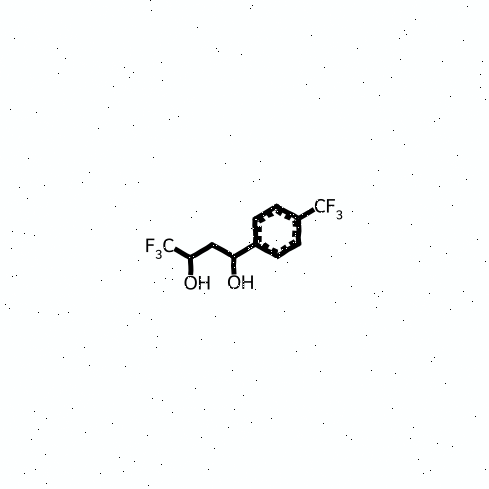 OC(CC(O)C(F)(F)F)c1ccc(C(F)(F)F)cc1